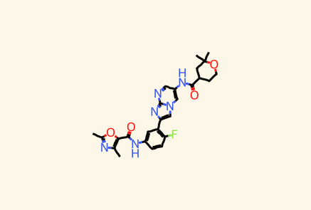 Cc1nc(C)c(C(=O)Nc2ccc(F)c(-c3cn4cc(NC(=O)C5CCOC(C)(C)C5)cnc4n3)c2)o1